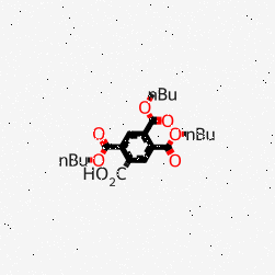 CCCCOC(=O)c1cc(C(=O)OCCCC)c(C(=O)OCCCC)cc1C(=O)O